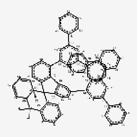 CC1(C)c2ccccc2C2(c3ccc(-c4nc(-c5ccccc5)nc(-c5ccccc5-c5ccccc5)n4)cc3-c3c(-c4nc(-c5ccccc5)nc(-c5ccccc5)n4)cccc32)[C@H]2C=CC=CC21